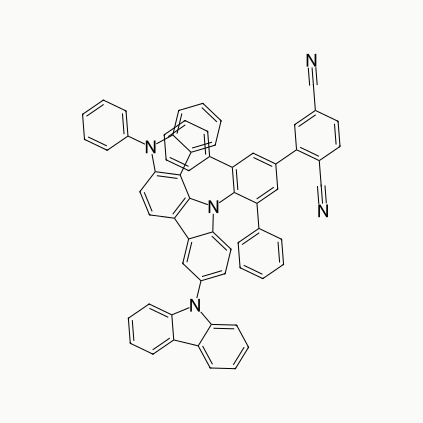 N#Cc1ccc(C#N)c(-c2cc(-c3ccccc3)c(-n3c4ccc(-n5c6ccccc6c6ccccc65)cc4c4ccc5c(c6ccccc6n5-c5ccccc5)c43)c(-c3ccccc3)c2)c1